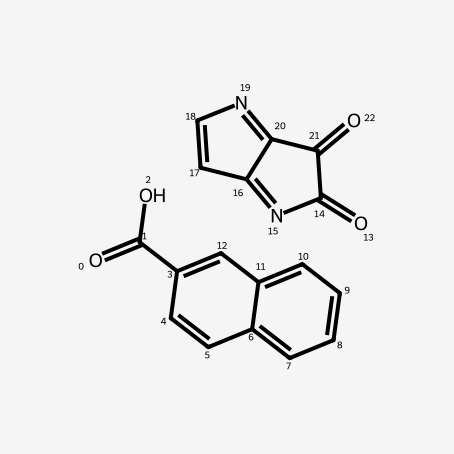 O=C(O)c1ccc2ccccc2c1.O=c1nc2ccnc-2c1=O